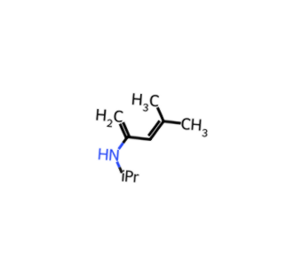 C=C(C=C(C)C)NC(C)C